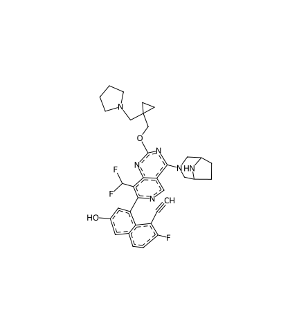 C#Cc1c(F)ccc2cc(O)cc(-c3ncc4c(N5CC6CCC(C5)N6)nc(OCC5(CN6CCCC6)CC5)nc4c3C(F)F)c12